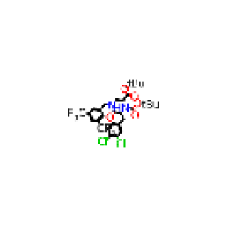 CC(C)(C)OC(=O)CCN(Cc1cc(C(F)(F)F)cc(C(F)(F)F)c1)C(=O)C(Cc1ccc(Cl)c(Cl)c1)NC(=O)OC(C)(C)C